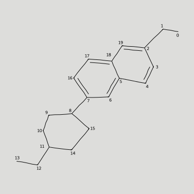 CCc1ccc2cc(C3CCC(CC)CC3)ccc2c1